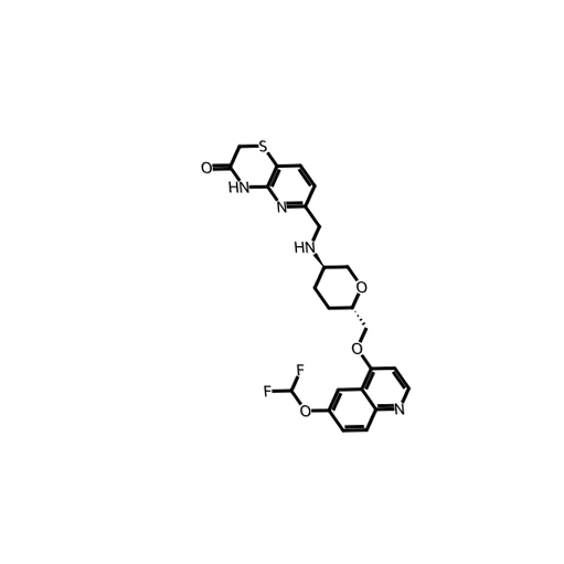 O=C1CSc2ccc(CN[C@@H]3CC[C@@H](COc4ccnc5ccc(OC(F)F)cc45)OC3)nc2N1